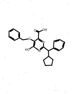 O=C(O)c1nc(C(c2ccccc2)C2CCCC2)nc(O)c1OCc1ccccc1